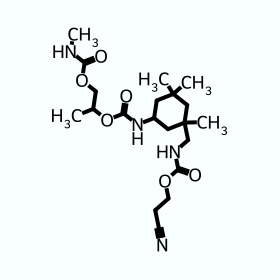 CNC(=O)OCC(C)OC(=O)NC1CC(C)(C)CC(C)(CNC(=O)OCCC#N)C1